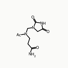 CC(=O)N(CCC(N)=O)CN1CC(=O)NC1=O